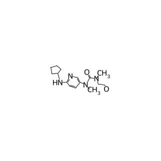 CN(CC=O)C(=O)N(C)c1ccc(NC2CCCC2)nc1